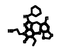 CCn1c(=O)c2c(nc(NC3CCCCC3)n2Cc2cc3c(cc2Cl)OCO3)n(CCO)c1=O